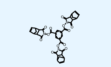 O=C(ON1C(=O)C2C3C=CC(C3)C2C1=O)c1cc(C(=O)ON2C(=O)C3C4C=CC(C4)C3C2=O)cc(C(=O)ON2C(=O)C3C4C=CC(C4)C3C2=O)c1